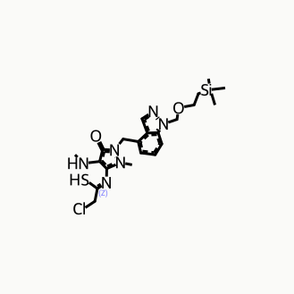 CNc1c(/N=C(\S)CCl)n(C)n(Cc2cccc3c2cnn3COCC[Si](C)(C)C)c1=O